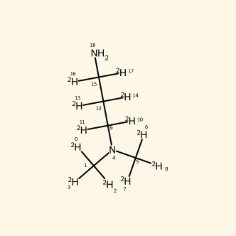 [2H]C([2H])([2H])N(C([2H])([2H])[2H])C([2H])([2H])C([2H])([2H])C([2H])([2H])N